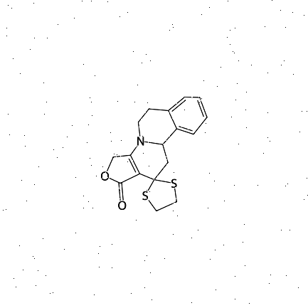 O=C1OCC2=C1C1(CC3c4ccccc4CCN23)SCCS1